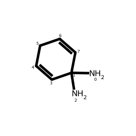 NC1(N)C=CCC=C1